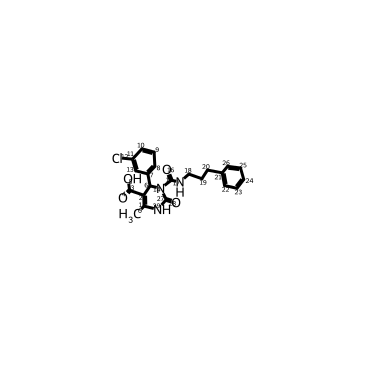 CC1=C(C(=O)O)C(c2cccc(Cl)c2)N(C(=O)NCCCc2ccccc2)C(=O)N1